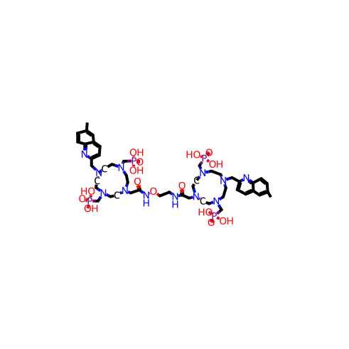 Cc1ccc2nc(CN3CCN(CP(=O)(O)O)CCN(CC(=O)NCCONC(=O)CN4CCN(CP(=O)(O)O)CCN(Cc5ccc6cc(C)ccc6n5)CCN(CP(=O)(O)O)CC4)CCN(CP(=O)(O)O)CC3)ccc2c1